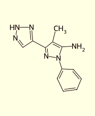 Cc1c(-c2cn[nH]n2)nn(-c2ccccc2)c1N